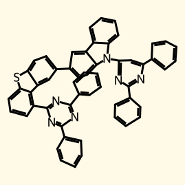 c1ccc(-c2cc(-n3c4ccccc4c4cc(-c5ccc6sc7cccc(-c8nc(-c9ccccc9)nc(-c9ccccc9)n8)c7c6c5)ccc43)nc(-c3ccccc3)n2)cc1